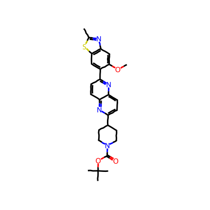 COc1cc2nc(C)sc2cc1-c1ccc2nc(C3CCN(C(=O)OC(C)(C)C)CC3)ccc2n1